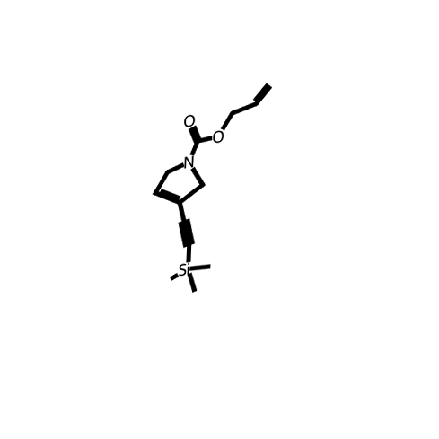 C=CCOC(=O)N1CC=C(C#C[Si](C)(C)C)C1